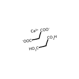 O=C(O)CC(=O)O.O=C([O-])CC(=O)[O-].[Ca+2]